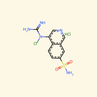 Cl.N=C(N)N(Cl)c1cncc2cc(S(N)(=O)=O)ccc12